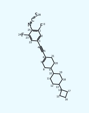 Fc1cc(C#CC2=CCC(C3CCC(C4CCC4)CC3)CC2)cc(F)c1N=C=S